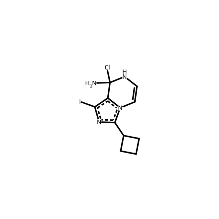 NC1(Cl)NC=Cn2c(C3CCC3)nc(I)c21